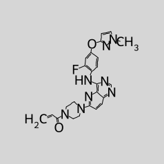 C=CC(=O)N1CCN(c2ccc3ncnc(Nc4ccc(Oc5ccn(C)n5)cc4F)c3n2)CC1